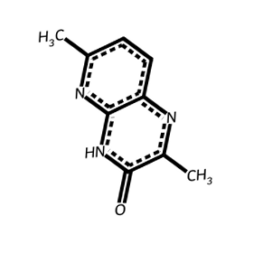 Cc1ccc2nc(C)c(=O)[nH]c2n1